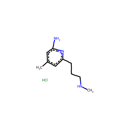 CNCCCc1cc(C)cc(N)n1.Cl